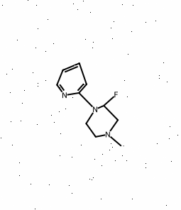 [CH2]N1CCN(c2ccccn2)C(F)C1